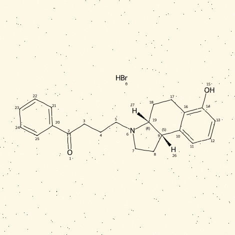 Br.O=C(CCCN1CC[C@H]2c3cccc(O)c3CC[C@H]21)c1ccccc1